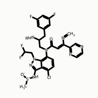 C=N/C(=C\C(=O)N(CC(Cc1cc(F)cc(F)c1)NC)c1ccc(Cl)c2c(N[S+](C)[O-])nn(CC(F)F)c12)c1cnccn1